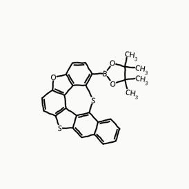 CC1(C)OB(c2ccc3oc4ccc5sc6cc7ccccc7c7sc2c3c4c5c67)OC1(C)C